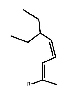 CCC(/C=C\C=C(/C)Br)CC